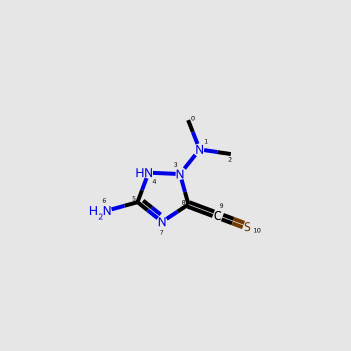 CN(C)N1NC(N)=NC1=C=S